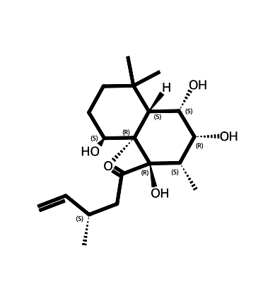 C=C[C@@H](C)CC(=O)[C@@]1(O)[C@@H](C)[C@@H](O)[C@@H](O)[C@H]2C(C)(C)CC[C@H](O)[C@@]21C